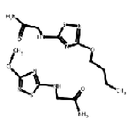 CCCCOc1nsc(NCC(N)=O)n1.COc1nsc(NCC(N)=O)n1